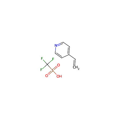 C=Cc1ccncc1.O=S(=O)(O)C(F)(F)F